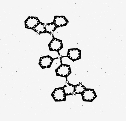 c1ccc([Si](c2ccccc2)(c2ccc(-n3c4ccccc4n4c5ccccc5nc34)cc2)c2ccc(-n3c4ccccc4n4c5ccccc5nc34)cc2)cc1